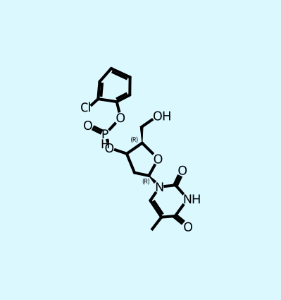 Cc1cn([C@H]2CC(O[PH](=O)Oc3ccccc3Cl)[C@@H](CO)O2)c(=O)[nH]c1=O